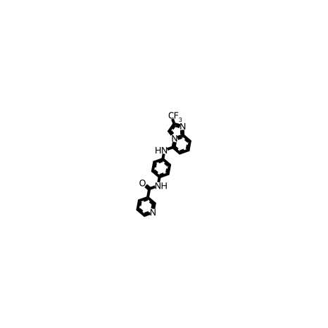 O=C(Nc1ccc(Nc2cccc3nc(C(F)(F)F)cn23)cc1)c1cccnc1